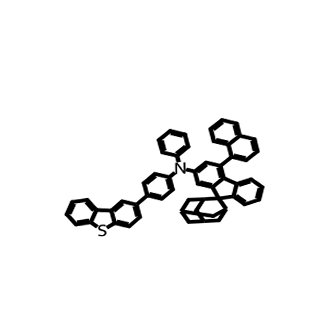 c1ccc(N(c2ccc(-c3ccc4sc5ccccc5c4c3)cc2)c2cc(-c3cccc4ccccc34)c3c(c2)C2(c4ccccc4-3)C3CC4CC(C3)CC2C4)cc1